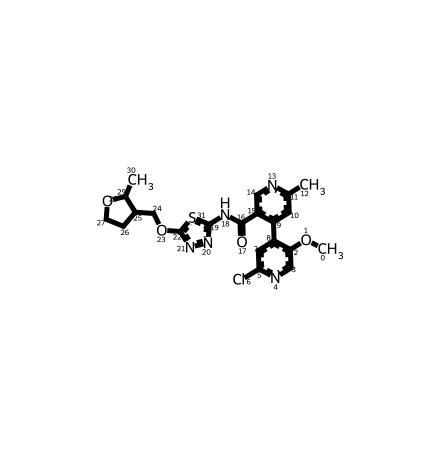 COc1cnc(Cl)cc1-c1cc(C)ncc1C(=O)Nc1nnc(OCC2CCOC2C)s1